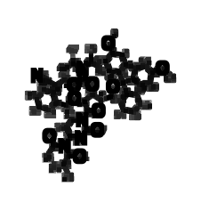 COc1ccc(C(OC[C@H]2O[C@@H](n3ccc(N(C(C)=O)C(=O)C(C)C)nc3=O)[C@H](OCc3ccccc3)[C@@H]2OP(OCCC#N)N(C(C)C)C(C)C)(c2ccccc2)c2ccc(OC)cc2)cc1